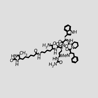 CNC(Cc1ccccc1)C(=O)N1CCCC[C@H]1C(=O)N[C@@H](Cc1c[nH]c2ccccc12)C(=O)N[C@@H](CCCNC(N)=O)C(=O)NC(CCCCNC(=O)CCCCCC1NC(=O)N[C@@H]1C)C(N)=O